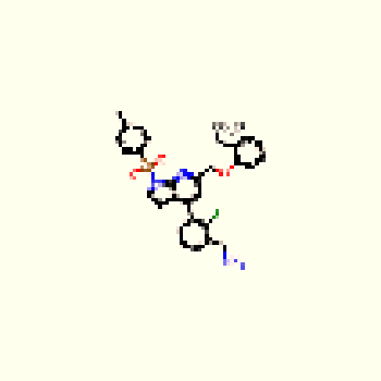 CCOC(=O)Cc1ccccc1OCc1cc(-c2cccc(CN)c2F)c2ccn(S(=O)(=O)c3ccc(C)cc3)c2n1